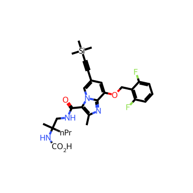 CCCC(C)(CNC(=O)c1c(C)nc2c(OCc3c(F)cccc3F)cc(C#C[Si](C)(C)C)cn12)NC(=O)O